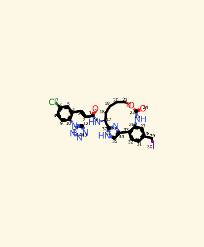 O=C(/C=C/c1cc(Cl)ccc1-n1cnnn1)N[C@H]1CCCCOC(=O)Nc2cc(CI)ccc2-c2c[nH]c1n2